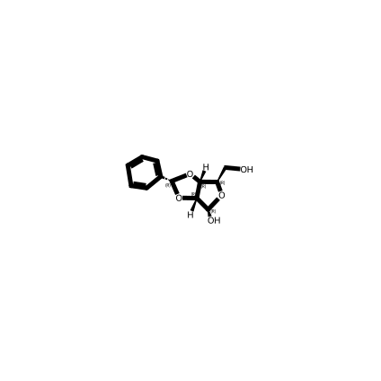 OC[C@H]1O[C@@H](O)[C@@H]2O[C@H](c3ccccc3)O[C@@H]21